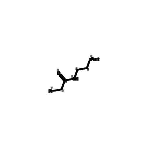 CCCCCCCNC(=O)CC(C)C